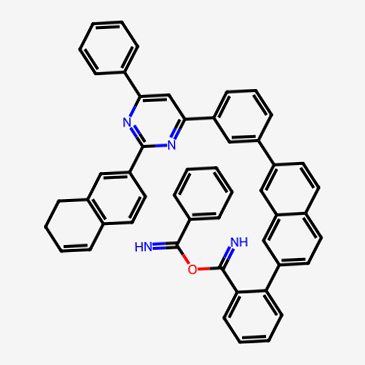 N=C(OC(=N)c1ccccc1-c1ccc2ccc(-c3cccc(-c4cc(-c5ccccc5)nc(-c5ccc6c(c5)CCC=C6)n4)c3)cc2c1)c1ccccc1